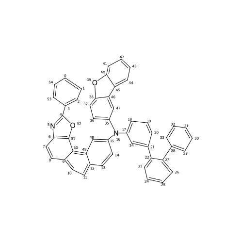 c1ccc(-c2nc3ccc4ccc5ccc(N(c6cccc(-c7ccccc7-c7ccccc7)c6)c6ccc7oc8ccccc8c7c6)cc5c4c3o2)cc1